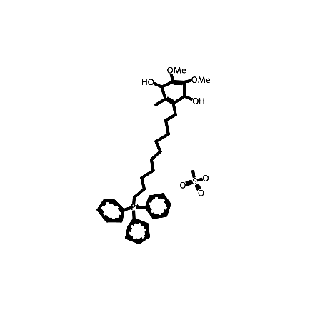 COC1=C(OC)C(O)C(CCCCCCCCCC[P+](c2ccccc2)(c2ccccc2)c2ccccc2)=C(C)C1O.CS(=O)(=O)[O-]